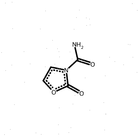 NC(=O)n1ccoc1=O